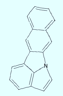 c1ccc2cc3c(cc2c1)c1cccc2ccn3c21